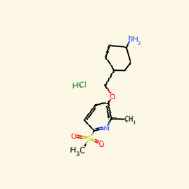 Cc1nc(S(C)(=O)=O)ccc1OCC1CCC(N)CC1.Cl